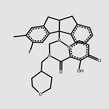 Cc1cc2c(cc1F)C1(N3CN(CC4CCOCC4)C(=O)c4c(O)c(=O)ccn43)c3ccccc3CC1C2